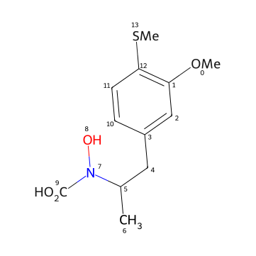 COc1cc(CC(C)N(O)C(=O)O)ccc1SC